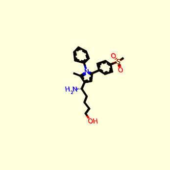 Cc1c([C@@H](N)CCCCO)cc(-c2ccc(S(C)(=O)=O)cc2)n1-c1ccccc1